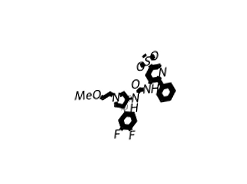 COCCN1C[C@@H](NC(=O)Nc2cc(S(C)(=O)=O)cnc2-c2ccccc2)[C@H](c2ccc(F)c(F)c2)C1